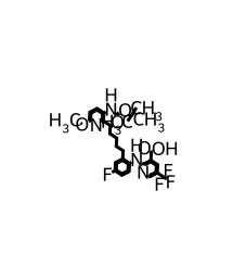 COc1ccc(NC(=O)OC(C)(C)C)c(CCCCCc2cc(F)ccc2Nc2ncc(C(F)(F)F)cc2C(=O)O)n1